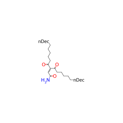 CCCCCCCCCCCCCCCC(=O)C(=CC(N)=O)C(=O)CCCCCCCCCCCCCCC